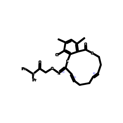 Cc1cc(C)c2c(c1Cl)CC(=N\OCC(=O)N(C(C)C)C(C)C)/C=C/CC/C=C/CCOC2=O